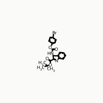 CC(C)(C)OC(=O)C1=Nc2ccccc2C1NC(=O)Oc1ccc(Br)cc1